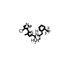 Cc1cc(C(=O)N[C@H](CN)Cc2ccccc2C(F)(F)F)sc1-c1c(Cl)cnn1C